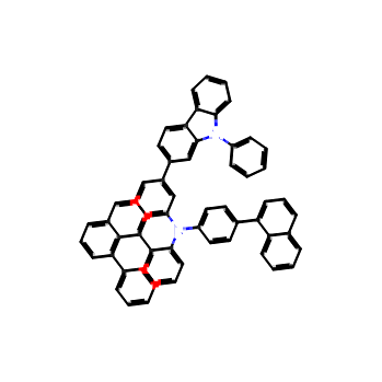 c1ccc(-c2cccc3cccc(-c4ccccc4N(c4ccc(-c5cccc6ccccc56)cc4)c4cccc(-c5ccc6c7ccccc7n(-c7ccccc7)c6c5)c4)c23)cc1